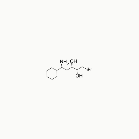 CC(C)C[C@H](O)[C@H](O)C[C@H](N)C1CCCCC1